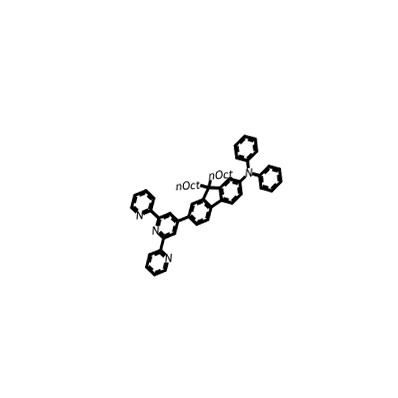 CCCCCCCCC1(CCCCCCCC)c2cc(-c3cc(-c4ccccn4)nc(-c4ccccn4)c3)ccc2-c2ccc(N(c3ccccc3)c3ccccc3)cc21